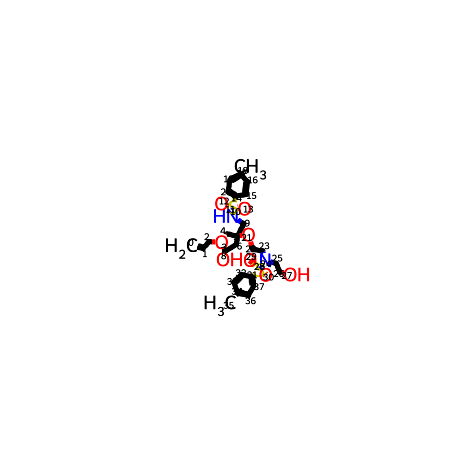 C=CCOCC(CCO)(CNS(=O)(=O)c1ccc(C)cc1)OCCN(CCO)S(=O)(=O)c1ccc(C)cc1